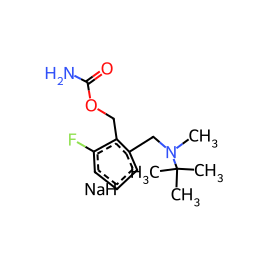 CN(Cc1cccc(F)c1COC(N)=O)C(C)(C)C.[NaH]